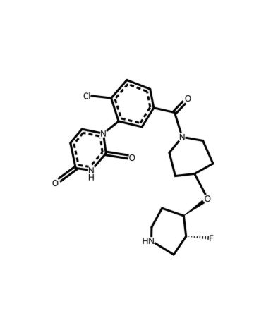 O=C(c1ccc(Cl)c(-n2ccc(=O)[nH]c2=O)c1)N1CCC(O[C@@H]2CCNC[C@H]2F)CC1